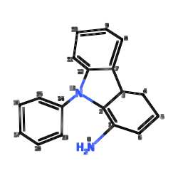 NC1=C2C(CC=C1)c1ccccc1N2c1ccccc1